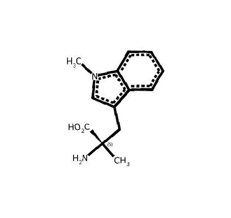 Cn1cc(C[C@](C)(N)C(=O)O)c2ccccc21